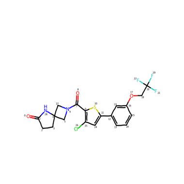 O=C1CCC2(CN(C(=O)c3sc(-c4cccc(OCC(F)(F)F)c4)cc3Cl)C2)N1